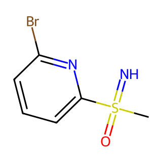 CS(=N)(=O)c1cccc(Br)n1